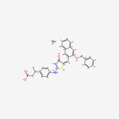 CC(CC(=O)[O-])c1ccc(NC2=NC(=O)C(=Cc3cc4ccccc4cc3OCc3ccccc3)S2)cc1.[Na+]